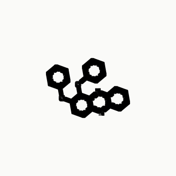 c1ccc(Oc2ccc3nc4ccccc4nc3c2Oc2ccccc2)cc1